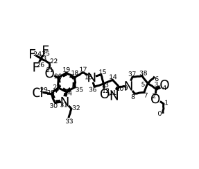 CCOC(=O)C1(C)CCN(C2=NOC3(C2)CN(Cc2cc(OCC(F)(F)F)c4c(Cl)cn(CC)c4c2)C3)CC1